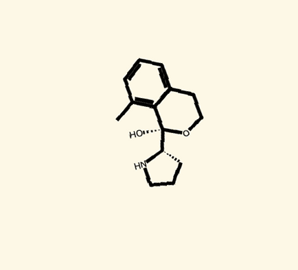 Cc1cccc2c1[C@](O)([C@@H]1CCCN1)OCC2